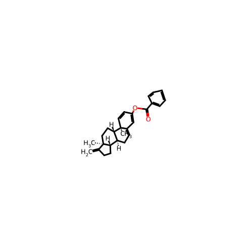 C=C1CC[C@H]2[C@@H]3CC=C4C=C(OC(=O)c5ccccc5)C=C[C@]4(C)[C@H]3CC[C@]12C